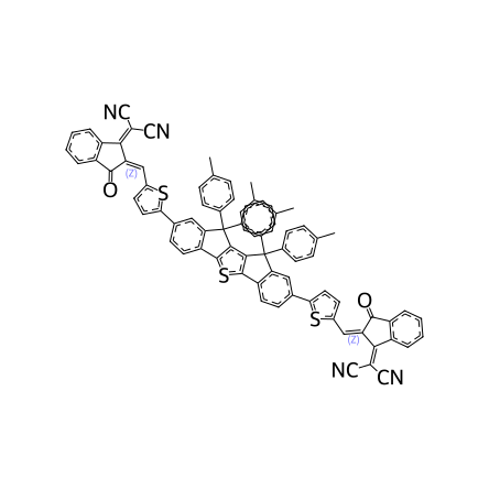 Cc1ccc(C2(c3ccc(C)cc3)c3cc(-c4ccc(/C=C5\C(=O)c6ccccc6C5=C(C#N)C#N)s4)ccc3-c3sc4c(c32)C(c2ccc(C)cc2)(c2ccc(C)cc2)c2cc(-c3ccc(/C=C5\C(=O)c6ccccc6C5=C(C#N)C#N)s3)ccc2-4)cc1